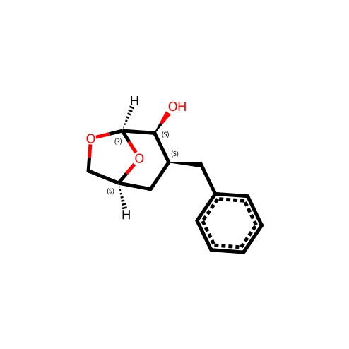 O[C@H]1[C@@H](Cc2ccccc2)C[C@H]2CO[C@@H]1O2